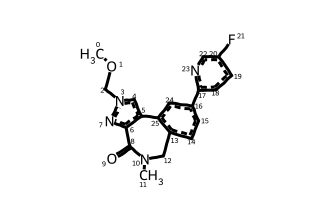 COCn1cc2c(n1)C(=O)N(C)Cc1ccc(-c3ccc(F)cn3)cc1-2